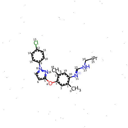 Cc1cc(Oc2ccn(-c3ccc(Cl)cc3)n2)c(C)cc1/N=C/NCC(C)C